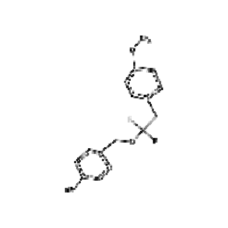 CCCc1ccc(COC(F)(F)Cc2ccc(OC(F)(F)F)cc2)cc1